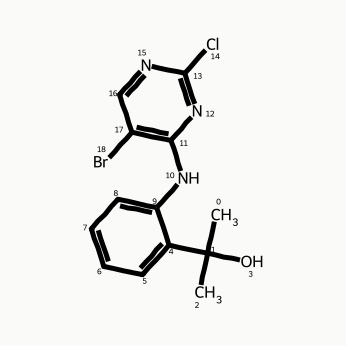 CC(C)(O)c1ccccc1Nc1nc(Cl)ncc1Br